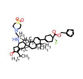 CCC[C@@H]1[C@@]2(C)CC=C(C3=CC[C@](CF)(C(=O)OCc4ccccc4)CC3)C(C)(C)[C@@H]2CC[C@@]1(C)[C@@]1(C)CC2=C(C(C)C)C(=O)CC2[C@@H](NCCN2CCS(=O)(=O)CC2)C1